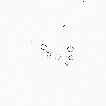 Cc1ccccc1-c1noc(C2CC2)c1COC1CCN(c2noc(-c3ccc(C(=O)O)cc3)n2)CC1